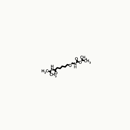 CC(C)NC(=O)CCCCCOCNC(=O)OC(C)C